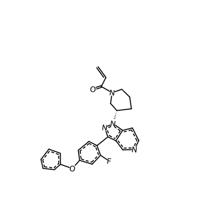 C=CC(=O)N1CCC[C@H](n2nc(-c3ccc(Oc4ccccc4)cc3F)c3cnccc32)C1